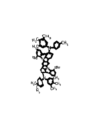 Cc1ccc(N(c2cc(C)c(C)c(C)c2)c2ccc3c4cc5c(cc4n4c6c(C(C)(C)C)cccc6c2c34)c2ccc(N(C3=CCC(C)(C)C=C3)c3cc(C)c(C)c(C)c3)c3c4cccc(C(C)(C)C)c4n5c23)cc1